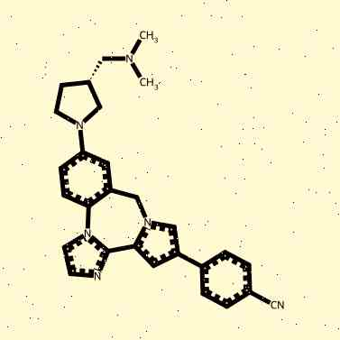 CN(C)C[C@H]1CCN(c2ccc3c(c2)Cn2cc(-c4ccc(C#N)cc4)cc2-c2nccn2-3)C1